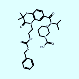 CC(C)N(C(=O)c1ccc2c(c1)N(CCNC(=O)OCc1ccccc1)C(=O)C(C)(C)O2)[C@@H]1CCCN(C(=O)O)C1